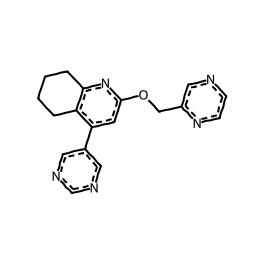 c1cnc(COc2cc(-c3cncnc3)c3c(n2)CCCC3)cn1